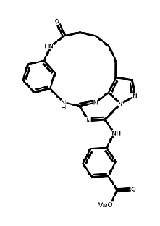 COC(=O)c1cccc(Nc2nc3nc4c(cnn24)CCCCC(=O)Nc2cccc(c2)N3)c1